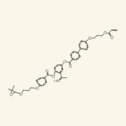 C=CC(=O)OCCCOc1ccc(-c2ccc(C(=O)Oc3ccc(OC(=O)c4ccc(OCCCOC5OC5(C)C)cc4)c(C(C)=N)c3)cc2)cc1